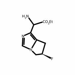 CCOC(=O)C(N)c1ncn2c1C[C@@H](F)C2